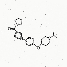 CC(C)N1CCC(Oc2ccc(-n3ccc(C(=O)N4CCCC4)c3)cc2)CC1